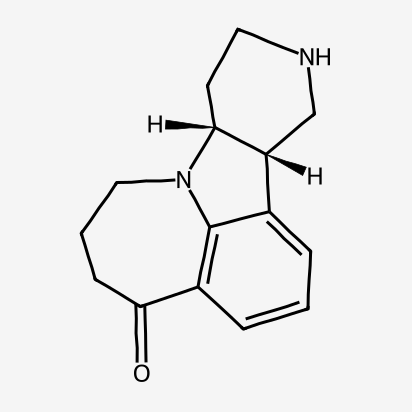 O=C1CCCN2c3c1cccc3[C@H]1CNCC[C@H]12